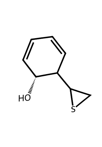 O[C@@H]1C=CC=CC1C1CS1